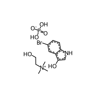 C[N+](C)(C)CCO.O=P([O-])(O)O.Oc1c[nH]c2ccc(Br)cc12